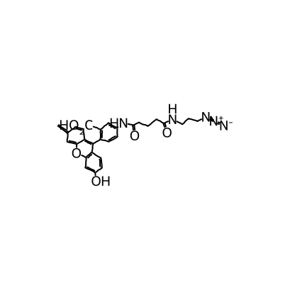 C=c1ccc2c(c1)Oc1cc(O)ccc1C=2c1ccc(NC(=O)CCCC(=O)NCCCN=[N+]=[N-])cc1C(=O)O